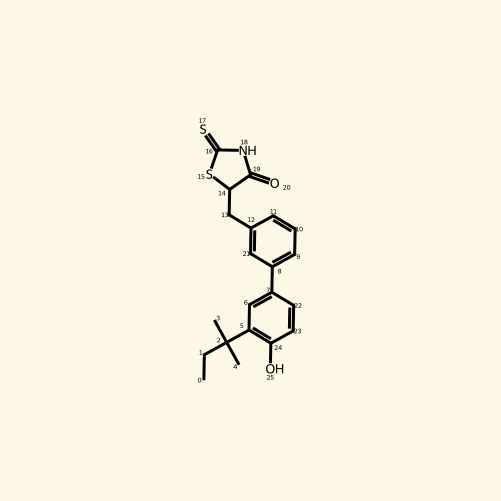 CCC(C)(C)c1cc(-c2cccc(CC3SC(=S)NC3=O)c2)ccc1O